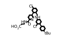 CC(C)(C)c1ccc(-c2ccc(NCc3ccc(Cl)cc3-c3ccc(C(=O)NCCC(=O)O)nc3)cc2Cl)cc1